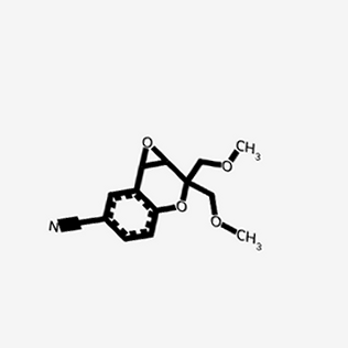 COCC1(COC)Oc2ccc(C#N)cc2C2OC21